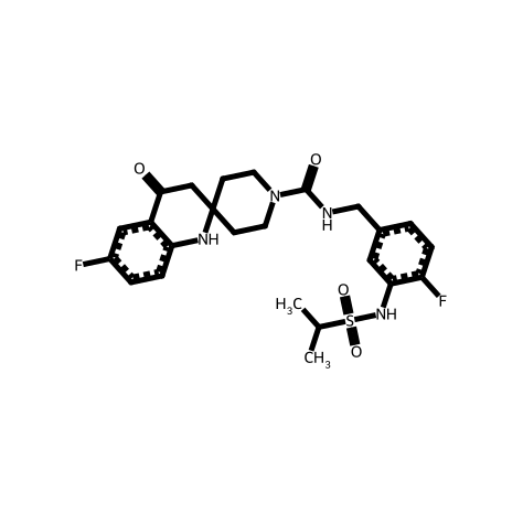 CC(C)S(=O)(=O)Nc1cc(CNC(=O)N2CCC3(CC2)CC(=O)c2cc(F)ccc2N3)ccc1F